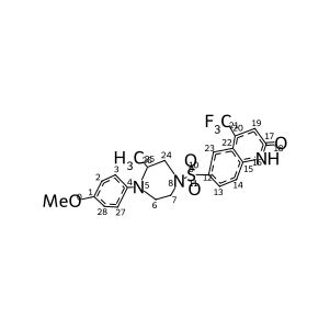 COc1ccc(N2CCN(S(=O)(=O)c3ccc4[nH]c(=O)cc(C(F)(F)F)c4c3)CC2C)cc1